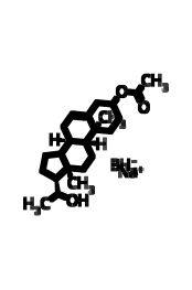 CC(=O)OC1CC[C@@]2(C)C(=CC[C@@H]3C4CC[C@H](C(C)O)[C@@]4(C)CC[C@H]32)C1.[BH4-].[Na+]